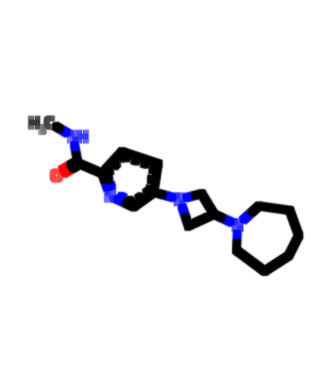 CNC(=O)c1ccc(N2CC(N3CCCCCC3)C2)cn1